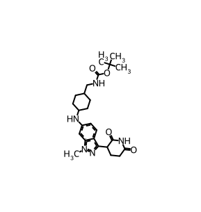 Cn1nc(C2CCC(=O)NC2=O)c2ccc(NC3CCC(CNC(=O)OC(C)(C)C)CC3)cc21